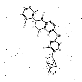 Cc1cc(Nc2ncc3c(n2)N(C)CN(c2c(C)cccc2Cl)C3=O)ccc1N1CC2CC1CN2C(=O)O